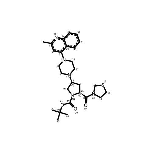 Cc1cc(N2CCN([C@H]3C[C@@H](C(=O)N4CCSC4)N(C(=O)OC(C)(C)C)C3)CC2)c2ccccc2n1